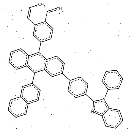 C=Cc1ccc(-c2c3ccccc3c(-c3ccc4ccccc4c3)c3cc(-c4ccc(-c5nc6ccccc6n5-c5ccccc5)cc4)ccc23)cc1/C=C\C